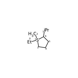 CCS1(C)CCCC1C(C)C